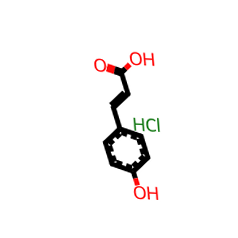 Cl.O=C(O)C=Cc1ccc(O)cc1